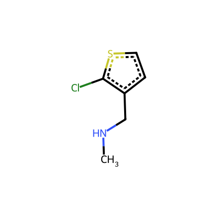 CNCc1ccsc1Cl